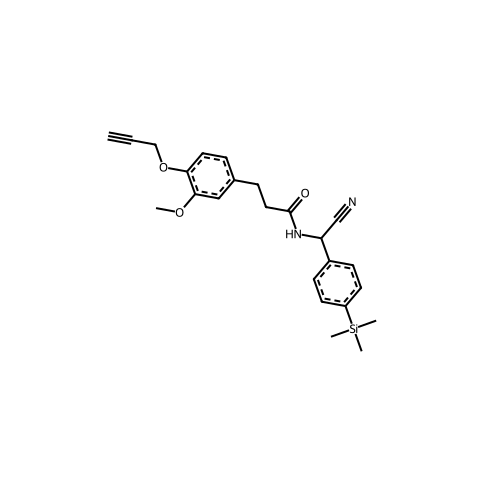 C#CCOc1ccc(CCC(=O)NC(C#N)c2ccc([Si](C)(C)C)cc2)cc1OC